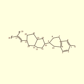 Cc1ccc2c(c1)CCC(C1CCC3CC(C=C(F)F)CCC3C1)C2